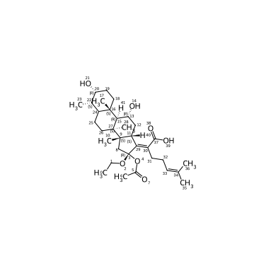 CCO[C@@]1(OC(C)=O)C[C@@]2(C)[C@H](C[C@@H](O)[C@@H]3[C@@]4(C)CC[C@@H](O)[C@@H](C)C4CC[C@@]32C)C1=C(CCC=C(C)C)C(=O)O